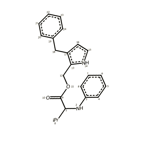 CC(C)C(Nc1ccccc1)C(=O)OCc1[nH]ccc1Cc1ccccc1